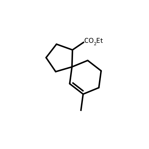 CCOC(=O)C1CCCC12C=C(C)CCC2